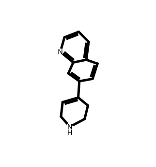 C1=C(c2ccc3cccnc3c2)CCNC1